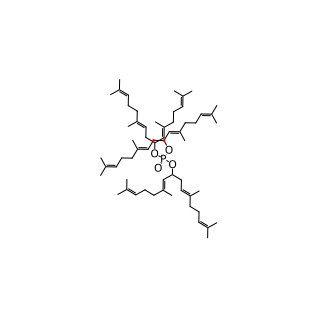 CC(C)=CCC/C(C)=C/CC(/C=C(\C)CCC=C(C)C)OP(=O)(OC(/C=C(\C)CCC=C(C)C)C/C=C(\C)CCC=C(C)C)OC(/C=C(\C)CCC=C(C)C)C/C=C(\C)CCC=C(C)C